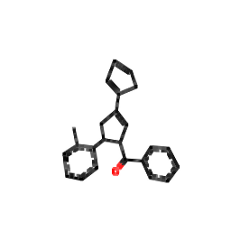 Cc1ccccc1C1CC(C2=CC=CC2)=CC1C(=O)c1ccccc1